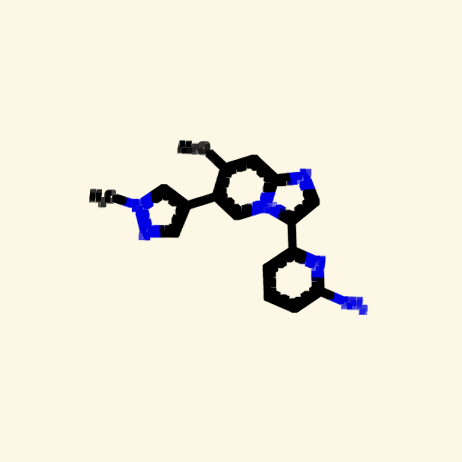 COc1cc2ncc(-c3cccc(N)n3)n2cc1-c1cnn(C)c1